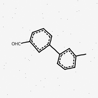 Cc1cccc(-c2cccc(C=O)c2)c1